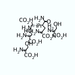 CC(C)[C@H](N)C(=O)O.NC(=O)CC[C@H](N)C(=O)O.N[C@@H](CO)C(=O)O.N[C@@H](CO)C(=O)O.N[C@@H](CO)C(=O)O